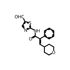 O=Cc1cnc(NC(=O)C(=CC2CCOCC2)c2ccccc2)s1